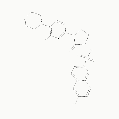 O=C1[C@@H](NS(=O)(=O)c2ccc3cc(Cl)ccc3c2)CCN1c1ccc(N2CCOCC2)c(F)c1